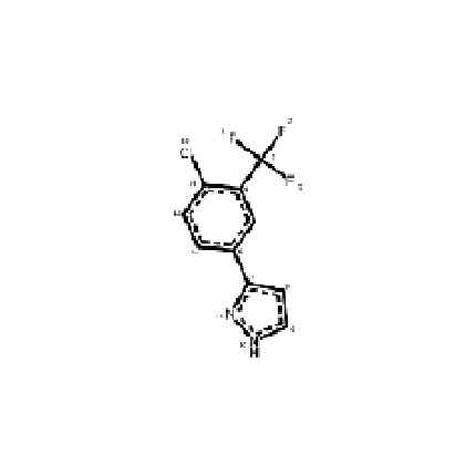 FC(F)(F)c1cc(-c2cc[nH]n2)ccc1Cl